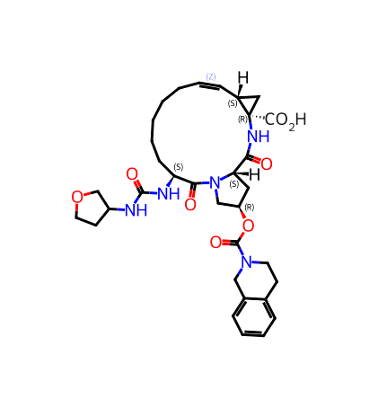 O=C(NC1CCOC1)N[C@H]1CCCCC/C=C\[C@@H]2C[C@@]2(C(=O)O)NC(=O)[C@@H]2C[C@@H](OC(=O)N3CCc4ccccc4C3)CN2C1=O